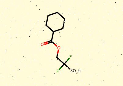 O=C(OCC(F)(F)S(=O)(=O)O)C1CCCCC1